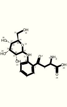 NC(CC(=O)c1ccccc1NC1O[C@H](CO)[C@@H](O)[C@@H](O)[C@H]1O)C(=O)O